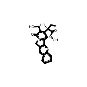 CC[C@@](O)(C(=O)OO)c1cc2n(c(=O)c1CO)Cc1cc3ccccc3nc1-2